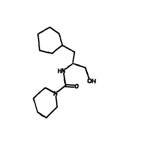 O=C(NC(CO)CC1CCCCC1)N1CCCCC1